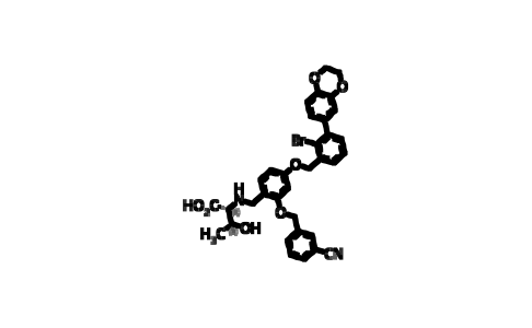 C[C@H](O)[C@@H](NCc1ccc(OCc2cccc(-c3ccc4c(c3)OCCO4)c2Br)cc1OCc1cccc(C#N)c1)C(=O)O